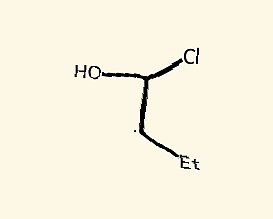 CC[CH]C(O)Cl